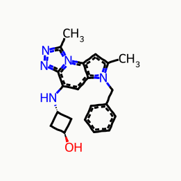 Cc1cc2c(cc(N[C@H]3C[C@H](O)C3)c3nnc(C)n32)n1Cc1ccccc1